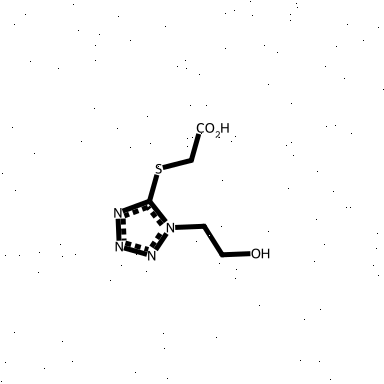 O=C(O)CSc1nnnn1CCO